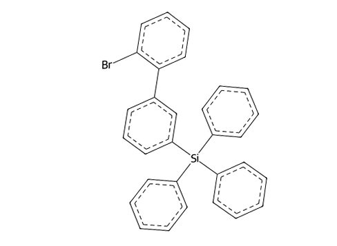 Brc1ccccc1-c1cccc([Si](c2ccccc2)(c2ccccc2)c2ccccc2)c1